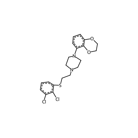 Clc1cccc(SCCN2CCN(c3cccc4c3OCCO4)CC2)c1Cl